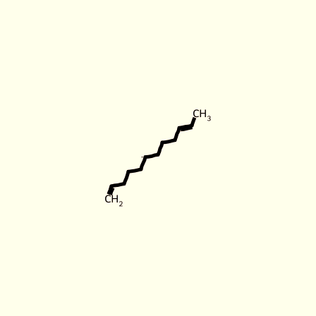 C=CCCC[CH]CCCC=CC